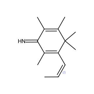 C/C=C\C1=C(C)C(=N)C(C)=C(C)C1(C)C